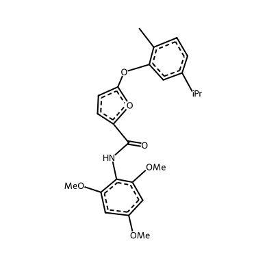 COc1cc(OC)c(NC(=O)c2ccc(Oc3cc(C(C)C)ccc3C)o2)c(OC)c1